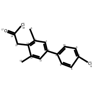 Cc1cc(-c2ccc(Cl)cc2)cc(C)c1CC(=O)Cl